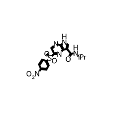 CC(C)NC(=O)c1c[nH]c2ncc(S(=O)(=O)c3ccc([N+](=O)[O-])cc3)nc12